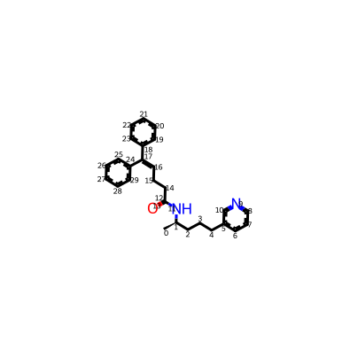 C[C@H](CCCc1cccnc1)NC(=O)CCC=C(c1ccccc1)c1ccccc1